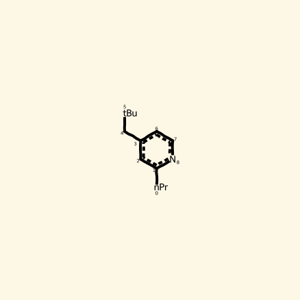 CCCc1cc(CC(C)(C)C)ccn1